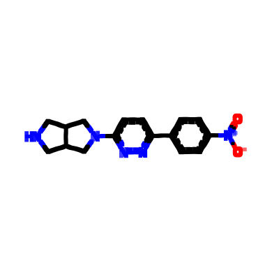 O=[N+]([O-])c1ccc(-c2ccc(N3CC4CNCC4C3)nn2)cc1